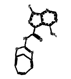 Nc1ncnc2c1c(C(=O)NC1=NC3=CC=CC=C(C3)O1)nn2F